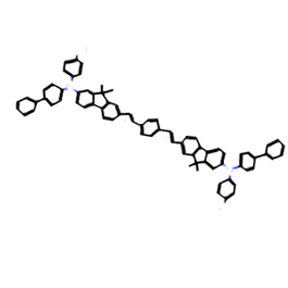 CC(C)(C)c1ccc(N(c2ccc(-c3ccccc3)cc2)c2ccc3c(c2)C(C)(C)c2cc(/C=C/c4ccc(/C=C/c5ccc6c(c5)C(C)(C)c5cc(N(c7ccc(-c8ccccc8)cc7)c7ccc(C(C)(C)C)cc7)ccc5-6)cc4)ccc2-3)cc1